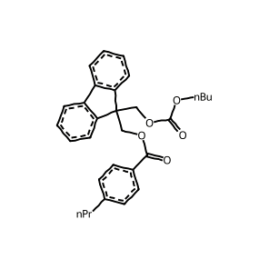 CCCCOC(=O)OCC1(COC(=O)c2ccc(CCC)cc2)c2ccccc2-c2ccccc21